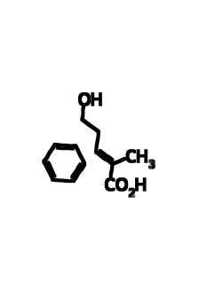 CC(=CCCO)C(=O)O.c1ccccc1